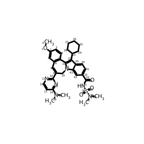 COc1ccc2c(c1)C=C(c1nccc(N(C)C)n1)Cn1c-2c(C2CCCCC2)c2ccc(C(=O)NS(=O)(=O)N(C)C)cc21